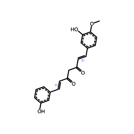 COc1ccc(/C=C/C(=O)CC(=O)/C=C/c2cccc(O)c2)cc1O